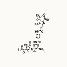 CCNC(=O)[C@@H]1O[C@@H](n2cnc3c(N)nc(NC(=O)c4ccc(NC(=O)CCc5nc6c(n5C)C(=O)N(CC)C5OC5N6CC)cc4)nc32)[C@H](O)[C@@H]1O